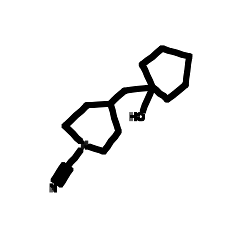 N#CN1CCC(CC2(O)CCCCC2)CC1